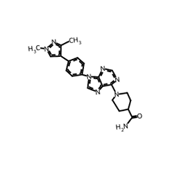 Cc1nn(C)cc1-c1ccc(-n2cnc3c(N4CCC(C(N)=O)CC4)ncnc32)cc1